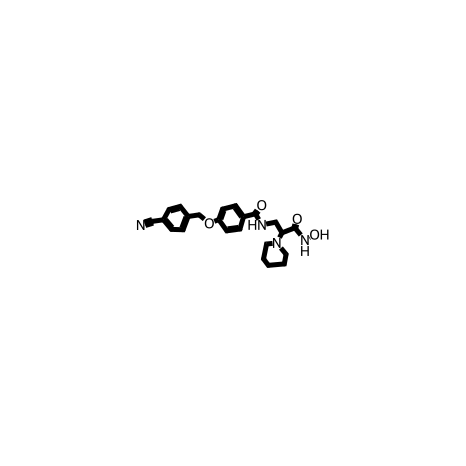 N#Cc1ccc(COc2ccc(C(=O)NCC(C(=O)NO)N3CCCCC3)cc2)cc1